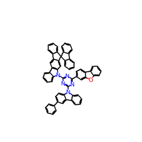 c1ccc(-c2ccc3c(c2)c2ccccc2n3-c2nc(-c3ccc4c(c3)oc3ccccc34)nc(-n3c4ccccc4c4cc5c(cc43)C3(c4ccccc4-c4ccccc43)c3ccccc3-5)n2)cc1